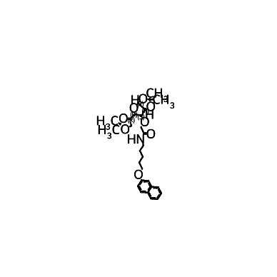 CC1(C)O[C@H]2O[C@H]([C@H]3COC(C)(C)O3)[C@H](OCC(=O)NCCCCCOc3ccc4ccccc4c3)[C@H]2O1